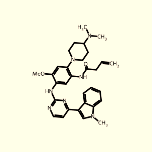 C=CCC(=O)Nc1cc(Nc2nccc(-c3cn(C)c4ccccc34)n2)c(OC)cc1N1CCC(N(C)C)CC1